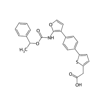 CC(OC(=O)Nc1occc1-c1ccc(-c2ccc(CC(=O)O)s2)cc1)c1ccccc1